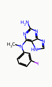 CN(c1cccc(I)c1)c1nc(N)nc2nc[nH]c12